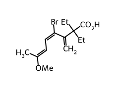 C=C(/C(Br)=C\C=C(/C)OC)C(CC)(CC)C(=O)O